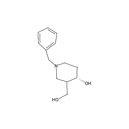 OCC1CN(Cc2ccccc2)CC[C@@H]1O